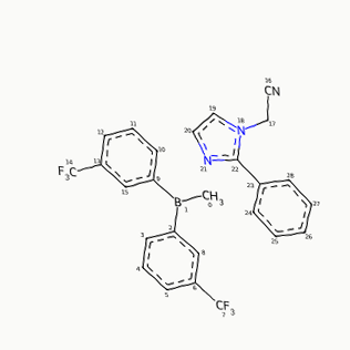 CB(c1cccc(C(F)(F)F)c1)c1cccc(C(F)(F)F)c1.N#CCn1ccnc1-c1ccccc1